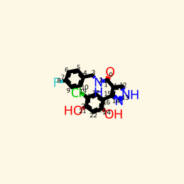 O=C(NCc1ccc(F)cc1)c1c[nH]nc1-c1cc(Cl)c(O)cc1O